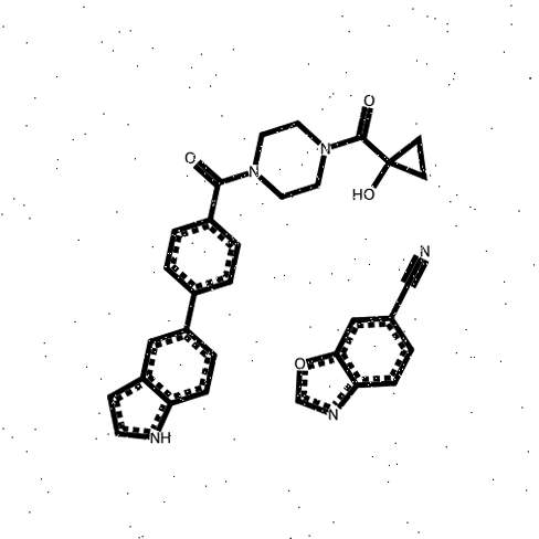 N#Cc1ccc2ncoc2c1.O=C(c1ccc(-c2ccc3[nH]ccc3c2)cc1)N1CCN(C(=O)C2(O)CC2)CC1